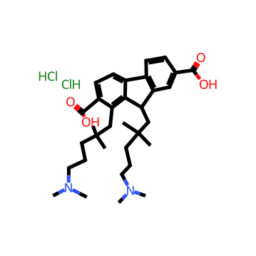 CN(C)CCCC(C)(C)Cc1c(C(=O)O)ccc2c1C(CC(C)(C)CCCN(C)C)c1cc(C(=O)O)ccc1-2.Cl.Cl